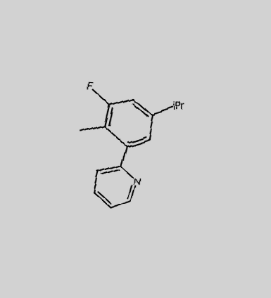 Cc1c(F)cc(C(C)C)cc1-c1ccccn1